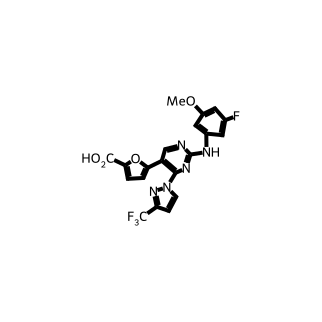 COc1cc(F)cc(Nc2ncc(-c3ccc(C(=O)O)o3)c(-n3ccc(C(F)(F)F)n3)n2)c1